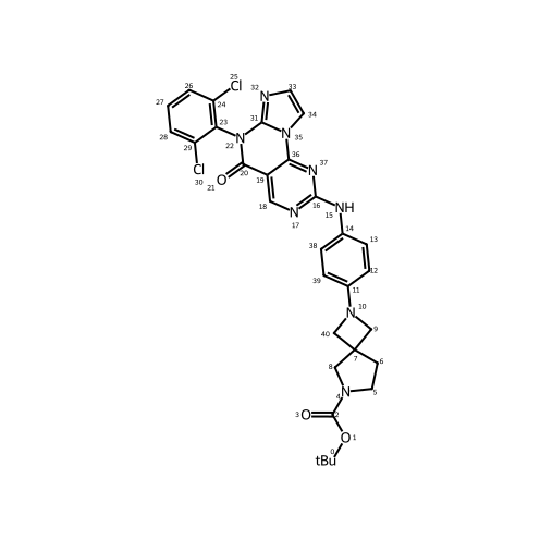 CC(C)(C)OC(=O)N1CCC2(C1)CN(c1ccc(Nc3ncc4c(=O)n(-c5c(Cl)cccc5Cl)c5nccn5c4n3)cc1)C2